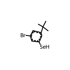 CC(C)(C)c1cc([SeH])cc(Br)c1